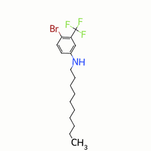 CCCCCCCCCCNc1ccc(Br)c(C(F)(F)F)c1